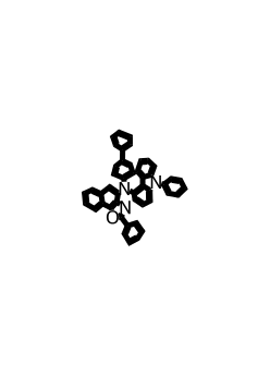 c1ccc(-c2ccc(N(c3cc4ccccc4c4oc(-c5ccccc5)nc34)c3cccc4c3c3ccccc3n4-c3ccccc3)cc2)cc1